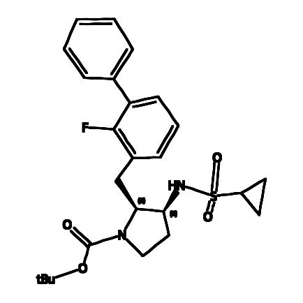 CC(C)(C)OC(=O)N1CC[C@H](NS(=O)(=O)C2CC2)[C@@H]1Cc1cccc(-c2ccccc2)c1F